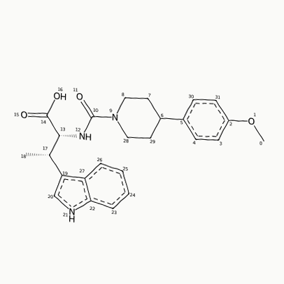 COc1ccc(C2CCN(C(=O)N[C@@H](C(=O)O)[C@@H](C)c3c[nH]c4ccccc34)CC2)cc1